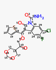 NC(=O)N1C(=O)C(=C(OCC(=O)C2COCOC2)c2cccs2)c2cc(F)c(Cl)cc21